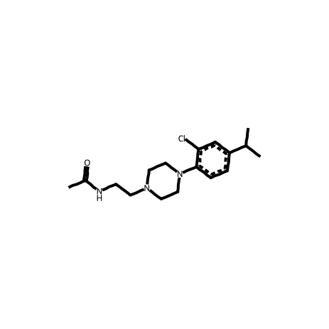 CC(=O)NCCN1CCN(c2ccc(C(C)C)cc2Cl)CC1